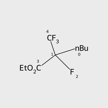 CCCCC(F)(C(=O)OCC)C(F)(F)F